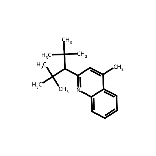 Cc1cc(C(C(C)(C)C)C(C)(C)C)nc2ccccc12